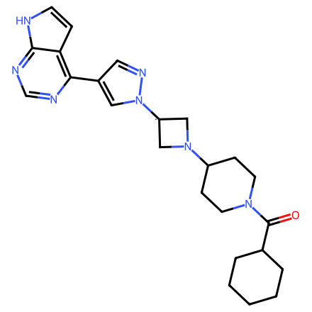 O=C(C1CCCCC1)N1CCC(N2C[C](n3cc(-c4ncnc5[nH]ccc45)cn3)C2)CC1